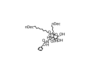 CCCCCCCCCCCCCCCCCCOC(=O)N(CCCCCCCCCCCCCC)[C@@H]1O[C@H](CO)[C@H](O)[C@H](O)[C@H]1NC(=O)CNC(=O)OCc1ccccc1